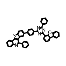 c1ccc(-c2nc(-c3ccc(-c4ccc5sc6c7ccccc7nc(-c7ccccc7)c6c5c4)cc3)nc(-c3cccc4c3oc3ccccc34)n2)cc1